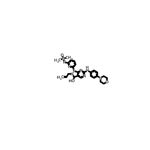 C=CCN1C(O)c2cnc(Nc3ccc(N4CCOCC4)cc3)nc2N1c1cccc(N=S(C)(C)=O)n1